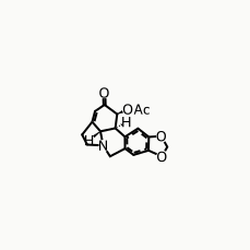 CC(=O)O[C@@H]1C(=O)C=C2CCN3Cc4cc5c(cc4[C@H]1[C@@H]23)OCO5